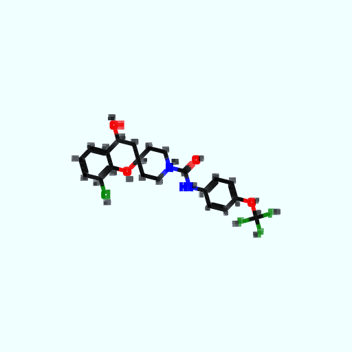 O=C(Nc1ccc(OC(F)(F)F)cc1)N1CCC2(CC1)CC(O)c1cccc(Cl)c1O2